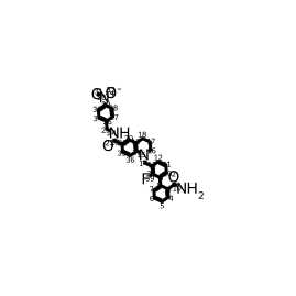 NC(=O)c1ccccc1-c1cccc(CN2CCCc3cc(C(=O)NCc4ccc([N+](=O)[O-])cc4)ccc32)c1F